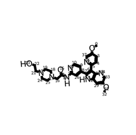 COc1ccc(-c2c(-c3ccnc(NC(=O)CN4CCN(CCO)CC4)c3)[nH]c3cc(OC)cnc23)nc1